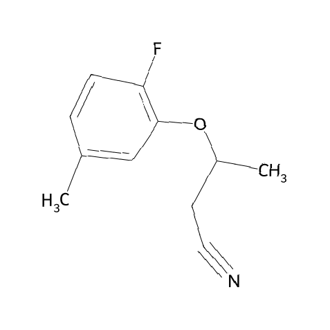 Cc1ccc(F)c(OC(C)CC#N)c1